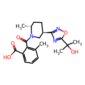 Cc1cccc(C(=O)O)c1C(=O)N1C[C@H](c2noc(C(C)(C)O)n2)CC[C@H]1C